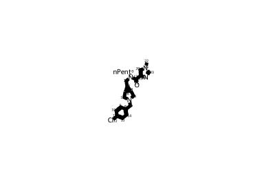 CCCCCN(CC1C2CN(Cc3ccc(Cl)cc3)CC21)C(=O)c1cn(C)cn1